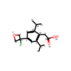 CC(C)c1cc(C2(F)COC2)cc(C(C)C)c1CC(=O)O